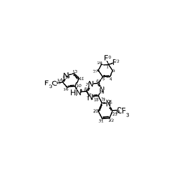 FC1(F)CC=C(c2nc(Nc3ccnc(C(F)(F)F)c3)nc(-c3cccc(C(F)(F)F)n3)n2)CC1